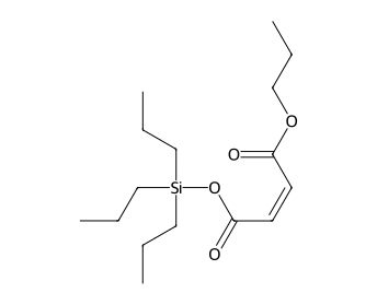 CCCOC(=O)/C=C\C(=O)O[Si](CCC)(CCC)CCC